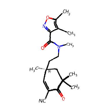 Cc1onc(C(=O)N(C)CC[C@]2(C)C=C(C#N)C(=O)C(C)(C)C2)c1C